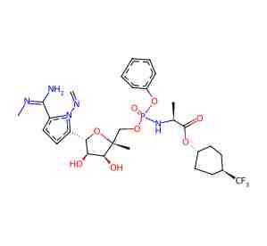 C=Nn1c(/C(N)=N\C)ccc1[C@@H]1O[C@](C)(COP(=O)(N[C@@H](C)C(=O)O[C@H]2CC[C@H](C(F)(F)F)CC2)Oc2ccccc2)[C@@H](O)[C@H]1O